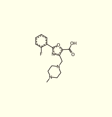 CN1CCN(Cc2nc(-c3ccccc3F)oc2C(=O)O)CC1